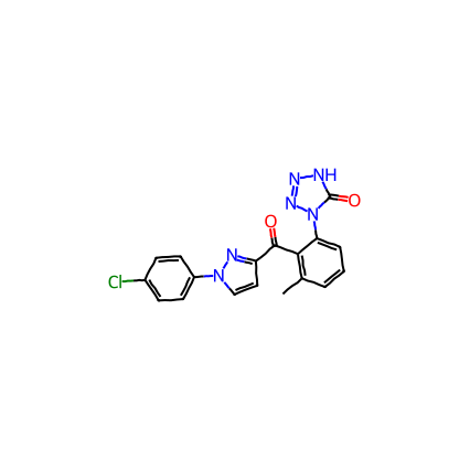 Cc1cccc(-n2nn[nH]c2=O)c1C(=O)c1ccn(-c2ccc(Cl)cc2)n1